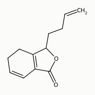 C=CCCC1OC(=O)C2=C1CCC=C2